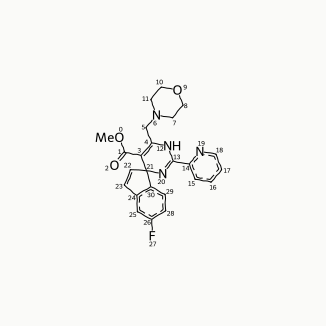 COC(=O)C1=C(CN2CCOCC2)NC(c2ccccn2)=NC12C=Cc1cc(F)ccc12